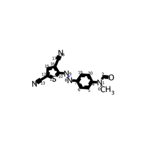 CN(C=O)c1ccc(/N=N/c2sc(C#N)cc2C#N)cc1